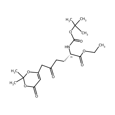 CCOC(=O)[C@H](CCC(=O)CC1=CC(=O)OC(C)(C)O1)NC(=O)OC(C)(C)C